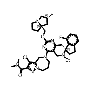 CCN1Cc2c(nc(OC[C@@]34CCCN3C[C@H](F)C4)nc2N2CCCn3nc(C(=O)N(C)C)c(Cl)c3C2)C[C@]12CCc1cccc(F)c12